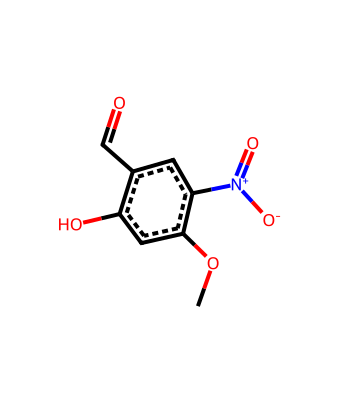 COc1cc(O)c(C=O)cc1[N+](=O)[O-]